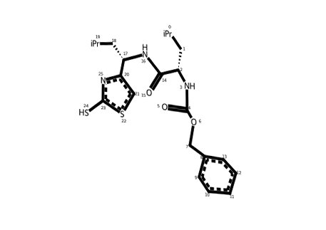 CC(C)C[C@H](NC(=O)OCc1ccccc1)C(=O)N[C@@H](CC(C)C)c1csc(S)n1